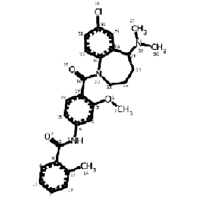 COc1cc(NC(=O)c2ccccc2C)ccc1C(=O)N1CCCC(N(C)C)c2cc(Cl)ccc21